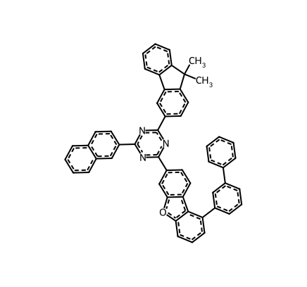 CC1(C)c2ccccc2-c2cc(-c3nc(-c4ccc5ccccc5c4)nc(-c4ccc5c(c4)oc4cccc(-c6cccc(-c7ccccc7)c6)c45)n3)ccc21